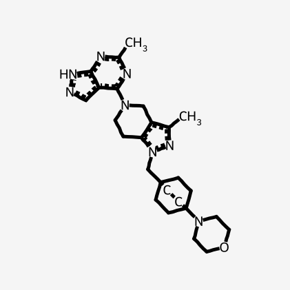 Cc1nc(N2CCc3c(c(C)nn3CC34CCC(N5CCOCC5)(CC3)CC4)C2)c2cn[nH]c2n1